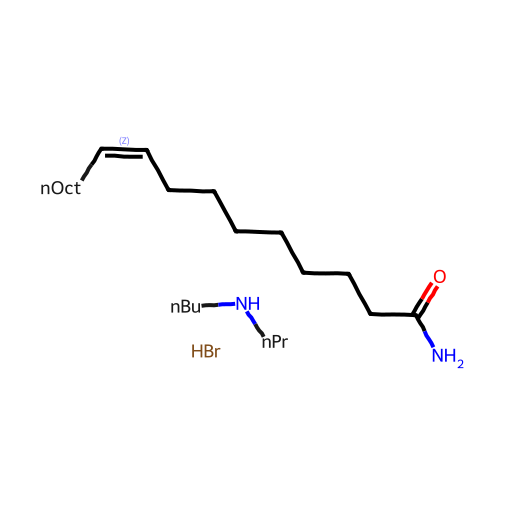 Br.CCCCCCCC/C=C\CCCCCCCC(N)=O.CCCCNCCC